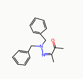 CC(=O)C(C)=NN(Cc1ccccc1)Cc1ccccc1